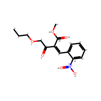 CCCOCC(=O)C(=Cc1ccccc1[N+](=O)[O-])C(=O)OC